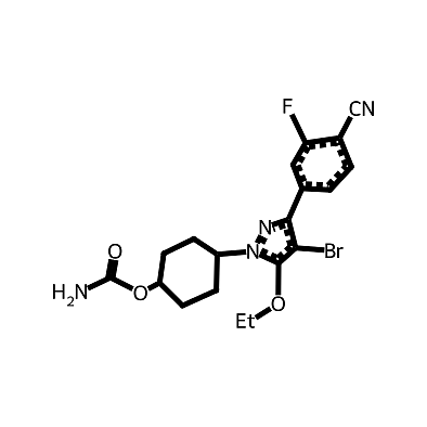 CCOc1c(Br)c(-c2ccc(C#N)c(F)c2)nn1C1CCC(OC(N)=O)CC1